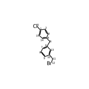 Clc1ccc(Cc2cccc(CBr)c2)cc1